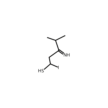 CC(C)C(=N)CC(S)I